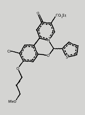 CCOC(=O)c1cn2c(cc1=O)-c1cc(Cl)c(OCCCOC)cc1OC2c1cccs1